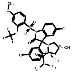 COc1ccc(S(=O)(=O)N2C(=O)C(c3cc(Cl)ccc3OC)(N3C[C@H](O)C[C@H]3C(=O)N(C)C)c3cc(Cl)ccc32)c(OC(F)(F)F)c1